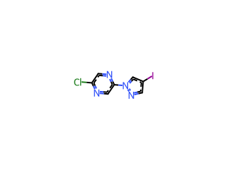 Clc1cnc(-n2cc(I)cn2)cn1